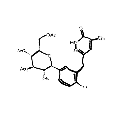 CC(=O)OC[C@H]1O[C@@H](c2ccc(Cl)c(Cc3cc(C)c(=O)[nH]n3)c2)[C@H](OC(C)=O)[C@@H](OC(C)=O)[C@@H]1OC(C)=O